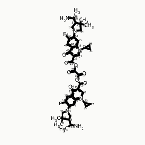 CC(N)C1CN(c2cc3c(cc2F)c(=O)c(C(=O)OC(=O)C(=O)OC(=O)c2cn(C4CC4)c4cc(N5CC(C(C)N)C(C)(C)C5)c(F)cc4c2=O)cn3C2CC2)CC1(C)C